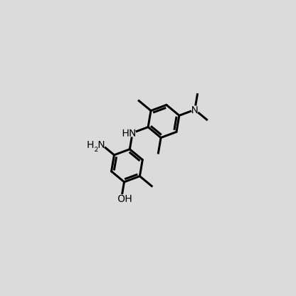 Cc1cc(Nc2c(C)cc(N(C)C)cc2C)c(N)cc1O